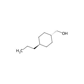 CCC[C@H]1CC[C@H](CO)CC1